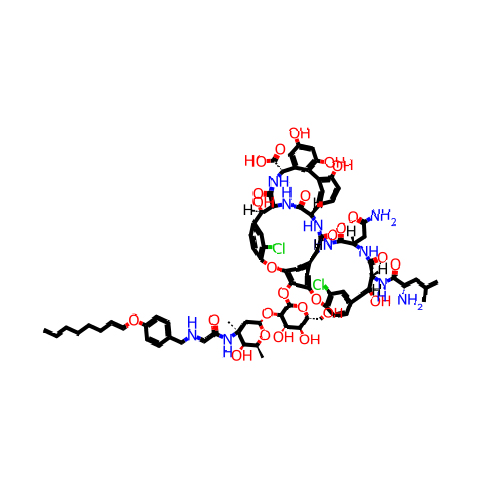 CCCCCCCCOc1ccc(CNCC(=O)N[C@@]2(C)C[C@H](OC3C(Oc4c5cc6cc4Oc4ccc(cc4Cl)[C@@H](O)[C@@H](NC(=O)[C@@H](N)CC(C)C)C(=O)N[C@@H](CC(N)=O)C(=O)N[C@H]6C(=O)N[C@H]4C(=O)NC(C(=O)N[C@H](C(=O)O)c6cc(O)cc(O)c6-c6cc4ccc6O)[C@H](O)c4ccc(c(Cl)c4)O5)O[C@H](CO)[C@@H](O)[C@@H]3O)O[C@@H](C)[C@H]2O)cc1